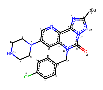 CC(C)(C)c1nc2c3ncc(N4CCNCC4)cc3n(Cc3ccc(Cl)cc3)c(=O)n2n1